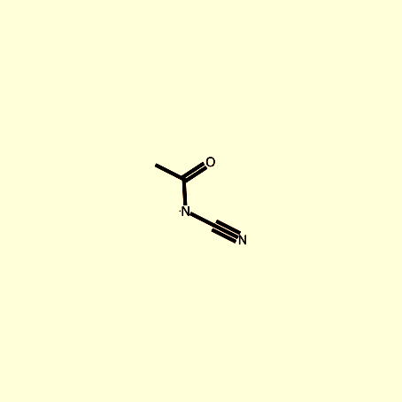 CC(=O)[N]C#N